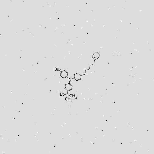 CCC(C)c1ccc(N(c2ccc(CCCCCC3CC4C=CC3C4)cc2)c2ccc(C(C)(C)CC)cc2)cc1